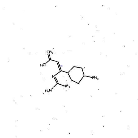 C=C(O)/C=C(\N=C(N)N)C1CCN(P)CC1